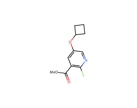 COC(=O)c1cc(OC2CCC2)cnc1F